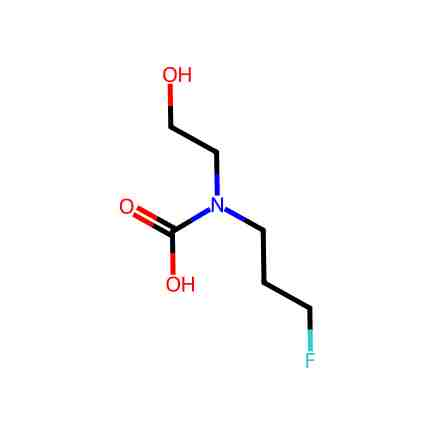 O=C(O)N(CCO)CCCF